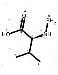 BN[C@H](C(=O)O)C(C)C